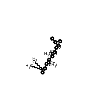 CCCCCCCCC1(CCCCCCCC)c2ccccc2-c2ccc(-c3ccc4c(c3)C(C)(C)c3cc(-c5ccc6c(c5)C(C)(C)c5cc(-c7ccc8c(c7)OCCN8c7ccc(-c8ccccc8)cc7-c7ccccc7)ccc5-6)ccc3-4)cc21